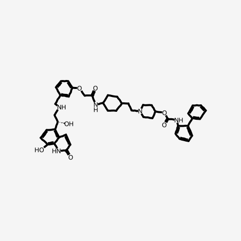 O=C(COc1cccc(CNC[C@H](O)c2ccc(O)c3[nH]c(=O)ccc23)c1)NC1CCC(CCN2CCC(OC(=O)Nc3ccccc3-c3ccccc3)CC2)CC1